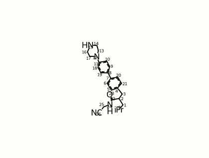 CC(C)CC(Cc1ccc(-c2ccc(N3CCNCC3)cc2)cc1)C(=O)NCC#N